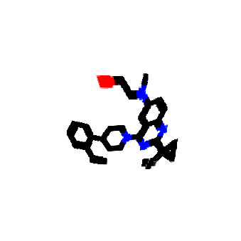 COc1ccccc1C1CCN(c2nc(C3(C(F)(F)F)CC3)nc3ccc(N(C)CCO)cc23)CC1